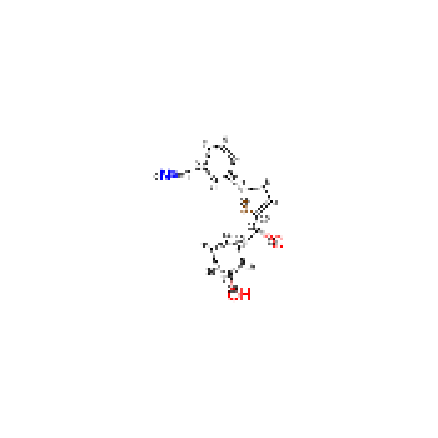 N#Cc1cccc(C2CC=C(C(=O)c3cccc(O)c3)S2)c1